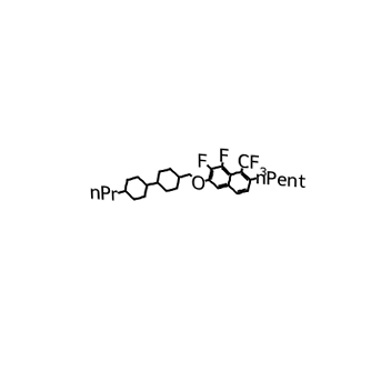 CCCCCc1ccc2cc(OCC3CCC(C4CCC(CCC)CC4)CC3)c(F)c(F)c2c1C(F)(F)F